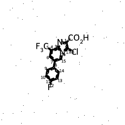 O=C(O)c1nc2c(C(F)(F)F)cc(-c3ccc(F)cc3)cn2c1Cl